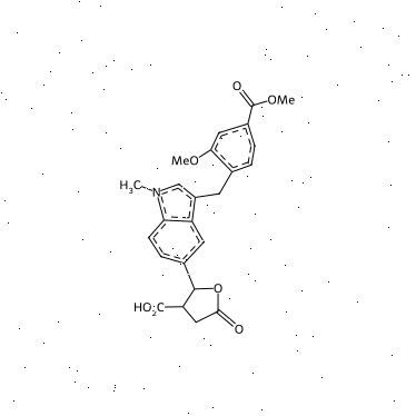 COC(=O)c1ccc(Cc2cn(C)c3ccc(C4OC(=O)CC4C(=O)O)cc23)c(OC)c1